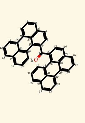 O=C(c1ccc2cccc3c4cccc5cccc(c1c23)c54)c1ccc2cccc3c4cccc5cccc(c1c23)c54